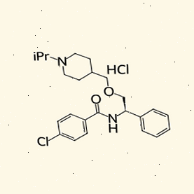 CC(C)N1CCC(COC[C@H](NC(=O)c2ccc(Cl)cc2)c2ccccc2)CC1.Cl